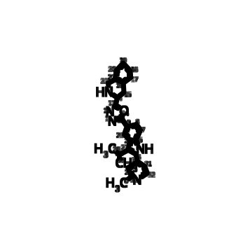 Cc1cc(-c2[nH]c3ccc(-c4nnc(C5Cc6ccccc6CN5)o4)cc3c2C(C)C)ccn1